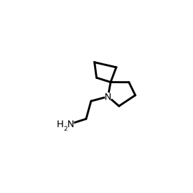 NCCN1CCCC12CCC2